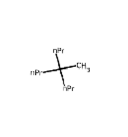 C[CH]CC(C)(CCC)CCC